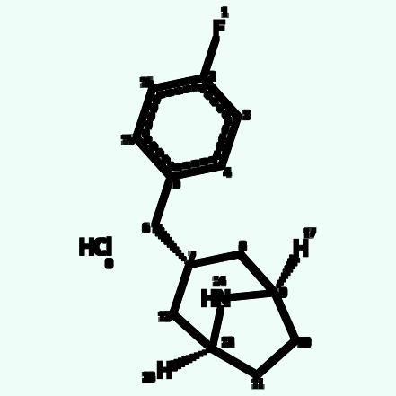 Cl.Fc1ccc(C[C@@H]2C[C@H]3CC[C@@H](C2)N3)cc1